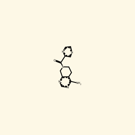 Nc1ncnc2c1CCN(C(=O)c1cnccn1)C2